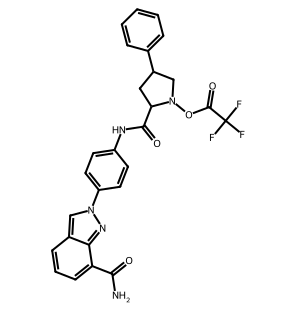 NC(=O)c1cccc2cn(-c3ccc(NC(=O)C4CC(c5ccccc5)CN4OC(=O)C(F)(F)F)cc3)nc12